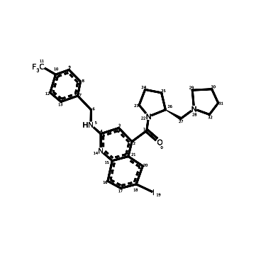 O=C(c1cc(NCc2ccc(C(F)(F)F)cc2)nc2ccc(I)cc12)N1CCC[C@H]1CN1CCCC1